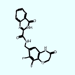 O=C1COc2c(cc(CNC(=O)c3nc4ccccc4c(=O)[nH]3)c(F)c2F)N1